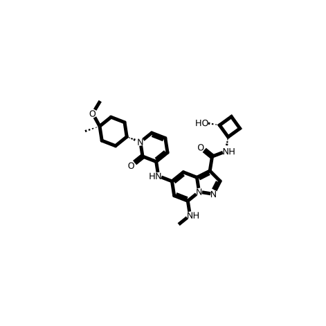 CNc1cc(Nc2cccn([C@H]3CC[C@](C)(OC)CC3)c2=O)cc2c(C(=O)N[C@H]3CC[C@H]3O)cnn12